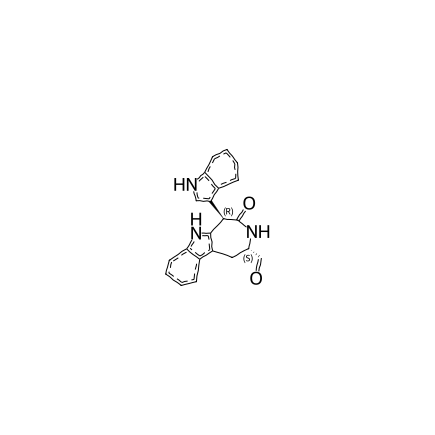 O=C[C@@H]1Cc2c([nH]c3ccccc23)[C@@H](c2c[nH]c3ccccc23)C(=O)N1